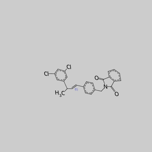 CC(/C=C/c1ccc(CN2C(=O)c3ccccc3C2=O)cc1)c1cc(Cl)cc(Cl)c1